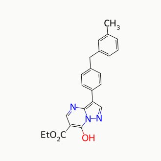 CCOC(=O)c1cnc2c(-c3ccc(Cc4cccc(C)c4)cc3)cnn2c1O